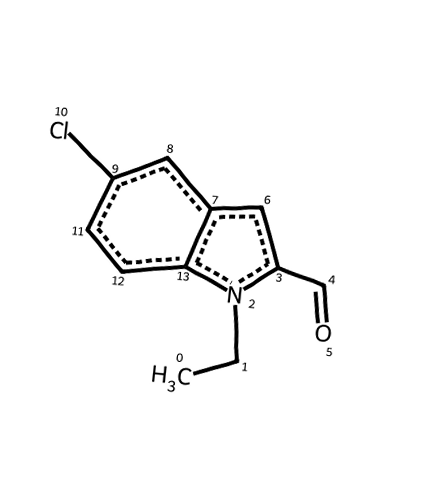 CCn1c(C=O)cc2cc(Cl)ccc21